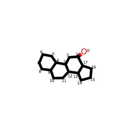 O=C1CC2C3CCCCC3CCC2C2CCCC12